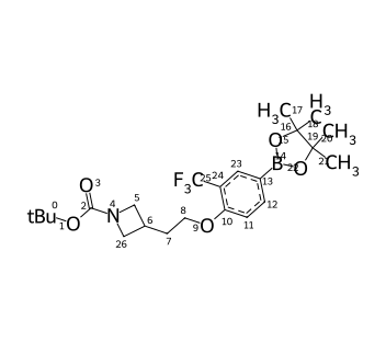 CC(C)(C)OC(=O)N1CC(CCOc2ccc(B3OC(C)(C)C(C)(C)O3)cc2C(F)(F)F)C1